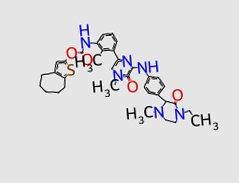 CCN1CCN(C)C(c2ccc(Nc3nc(-c4cccc(NC(=O)Oc5cc6c(s5)CCCCC6)c4C)cn(C)c3=O)cc2)C1=O